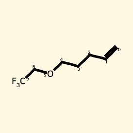 C=CCCCOCC(F)(F)F